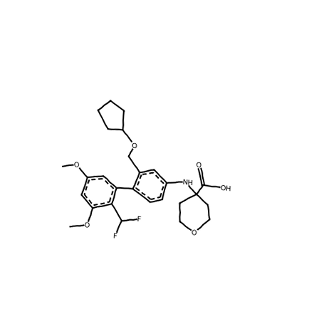 COc1cc(OC)c(C(F)F)c(-c2ccc(NC3(C(=O)O)CCOCC3)cc2COC2CCCC2)c1